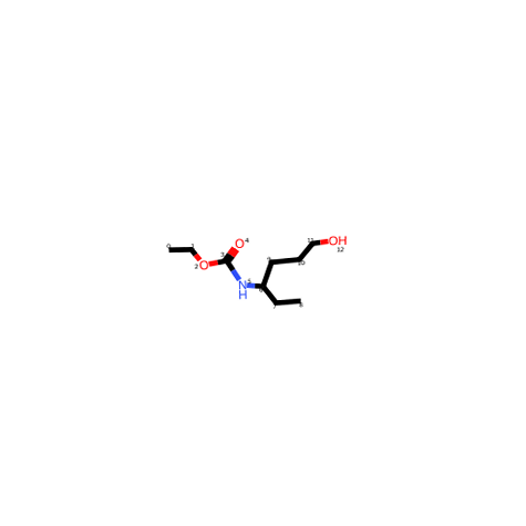 CCOC(=O)NC(CC)CCCO